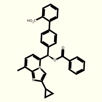 Cc1ccc([C@H](OC(=O)c2ccccc2)c2ccc(-c3ccccc3C(=O)O)cc2)n2cc(C3CC3)nc12